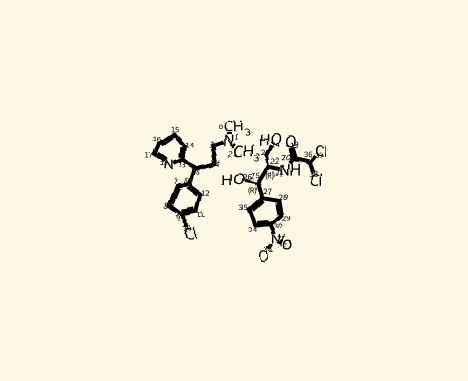 CN(C)CCC(c1ccc(Cl)cc1)c1ccccn1.O=C(N[C@H](CO)[C@H](O)c1ccc([N+](=O)[O-])cc1)C(Cl)Cl